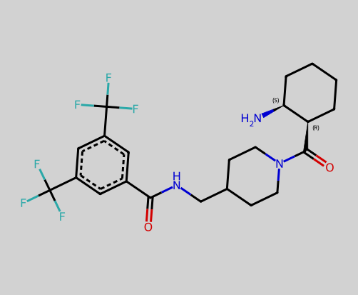 N[C@H]1CCCC[C@H]1C(=O)N1CCC(CNC(=O)c2cc(C(F)(F)F)cc(C(F)(F)F)c2)CC1